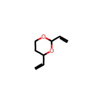 C=CC1CCOC(C=C)O1